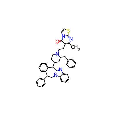 Cc1nc2sccn2c(=O)c1CCN1CCC(C2c3ccccc3C(c3ccccc3)Cn3c2nc2ccccc23)CC1Cc1ccccc1